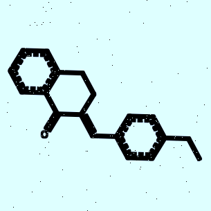 CCc1ccc(/C=C2\CCc3ccccc3C2=O)cc1